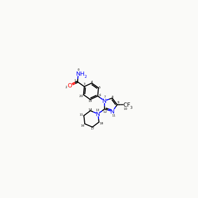 NC(=O)c1ccc(-n2cc(C(F)(F)F)nc2N2CCCCC2)cc1